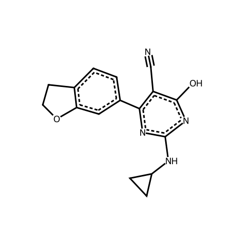 N#Cc1c(O)nc(NC2CC2)nc1-c1ccc2c(c1)OCC2